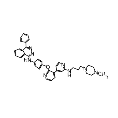 CN1CCN(CCCNc2cc(-c3cccnc3Oc3ccc(Nc4nnc(-c5ccccc5)c5ccccc45)cc3)ccn2)CC1